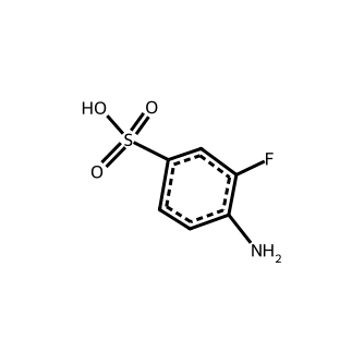 Nc1ccc(S(=O)(=O)O)cc1F